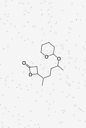 CC(CCC(C)C1CC(=O)O1)OC1CCCCO1